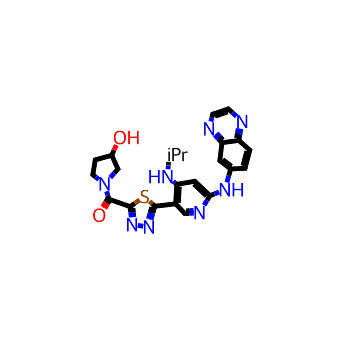 CC(C)Nc1cc(Nc2ccc3nccnc3c2)ncc1-c1nnc(C(=O)N2CCC(O)C2)s1